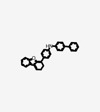 C1=c2c(oc3ccccc23)=C(c2ccc(Nc3ccc(-c4ccccc4)cc3)cc2)CC1